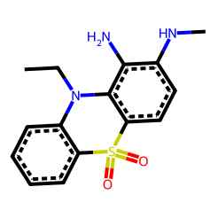 CCN1c2ccccc2S(=O)(=O)c2ccc(NC)c(N)c21